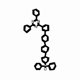 O=P(c1ccccc1)(c1ccccc1)c1ccc(-c2ccc(-c3ccc(-c4cccc(-c5nc(-c6ccccc6)nc(-c6ccccc6)n5)c4)cc3)cc2)cc1